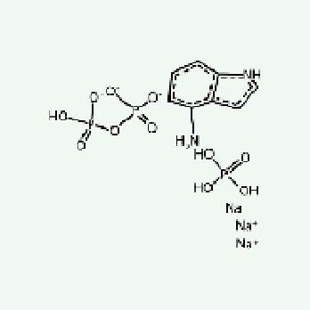 Nc1cccc2[nH]ccc12.O=P(O)(O)O.O=P([O-])([O-])OP(=O)([O-])O.[Na+].[Na+].[Na+]